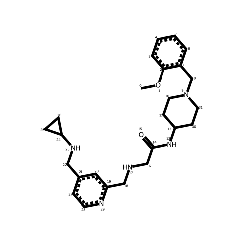 COc1ccccc1CN1CCC(NC(=O)CNCc2cc(CNC3CC3)ccn2)CC1